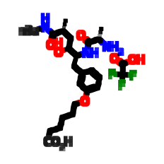 CCCCNC(=O)[C@H](C)C[C@H](O)[C@H](Cc1cccc(OCCCCCC(=O)O)c1)NC(=O)[C@H](C)N.O=C(O)C(F)(F)F